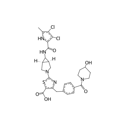 Cc1[nH]c(C(=O)NC2[C@H]3CN(c4nc(Cc5ccc(C(=O)N6CCC(O)CC6)cc5)c(C(=O)O)s4)C[C@@H]23)c(Cl)c1Cl